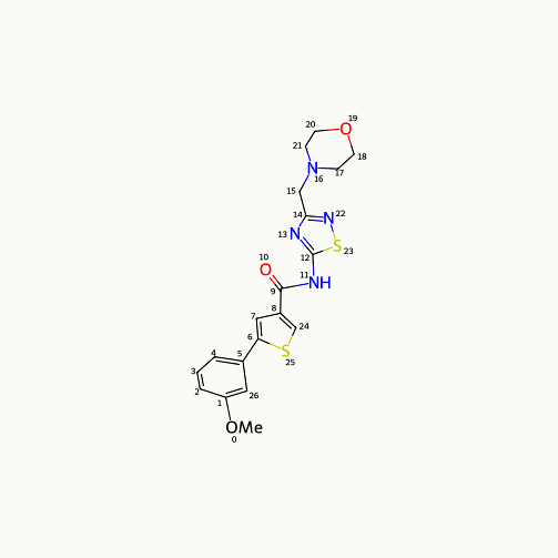 COc1cccc(-c2cc(C(=O)Nc3nc(CN4CCOCC4)ns3)cs2)c1